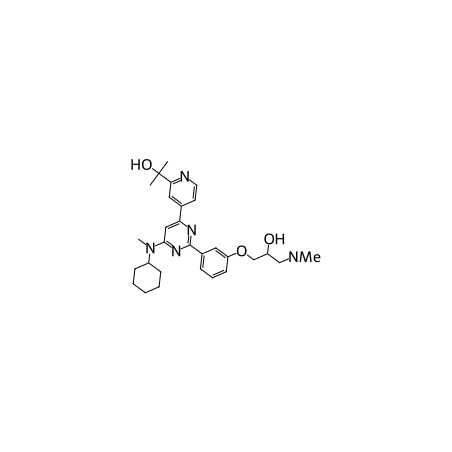 CNCC(O)COc1cccc(-c2nc(-c3ccnc(C(C)(C)O)c3)cc(N(C)C3CCCCC3)n2)c1